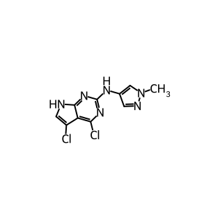 Cn1cc(Nc2nc(Cl)c3c(Cl)c[nH]c3n2)cn1